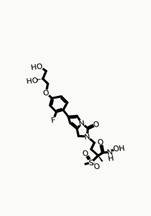 C[C@@](CCN1Cc2cc(-c3ccc(OC[C@H](O)CO)cc3F)cn2C1=O)(C(=O)NO)S(C)(=O)=O